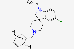 CC(=O)CN1CC2(CCN(C[C@H]3C[C@H]4C=C[C@H]3C4)CC2)c2cc(F)ccc21